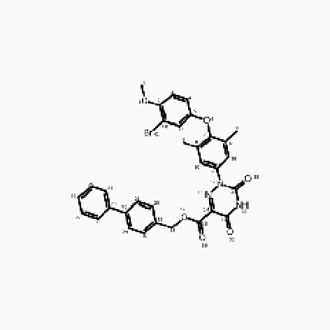 COc1ccc(Oc2c(C)cc(-n3nc(C(=O)OCc4ccc(-c5ccccc5)cc4)c(=O)[nH]c3=O)cc2C)cc1Br